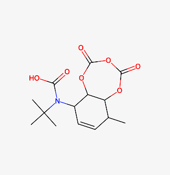 CC1C=CC(N(C(=O)O)C(C)(C)C)C2OC(=O)OC(=O)OC12